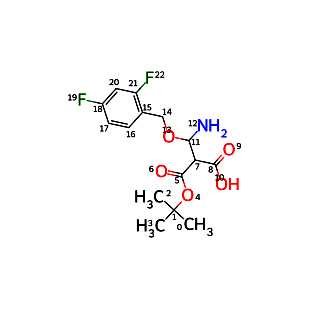 CC(C)(C)OC(=O)C(C(=O)O)C(N)OCc1ccc(F)cc1F